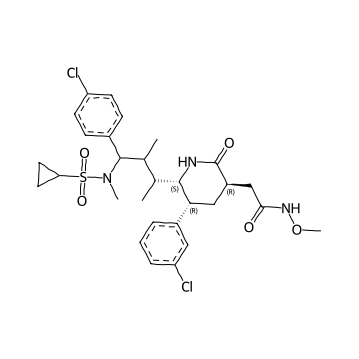 CONC(=O)C[C@H]1C[C@H](c2cccc(Cl)c2)[C@H](C(C)C(C)C(c2ccc(Cl)cc2)N(C)S(=O)(=O)C2CC2)NC1=O